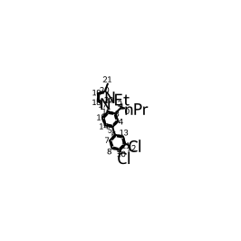 CCCC(CC)c1cc(-c2ccc(Cl)c(Cl)c2)ccc1-n1ccc(C)n1